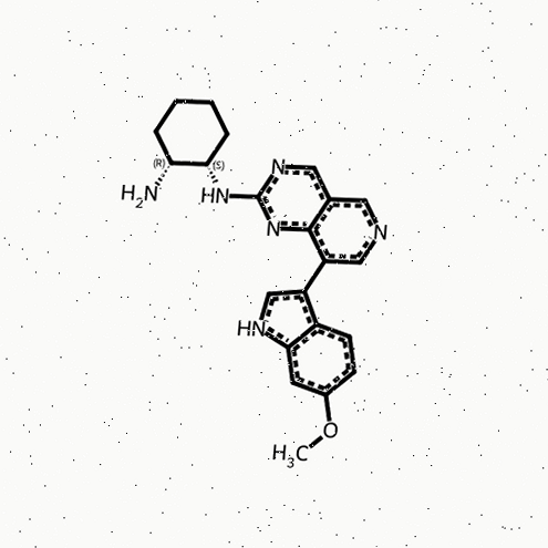 COc1ccc2c(-c3cncc4cnc(N[C@H]5CCCC[C@H]5N)nc34)c[nH]c2c1